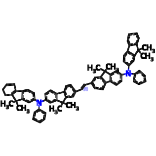 CC1(C)C2=C(C=CCC2)c2ccc(N(c3ccccc3)c3ccc4c(c3)C(C)(C)c3cc(/C=C/c5ccc6c(c5)C(C)(C)c5cc(N(c7ccccc7)c7ccc8c(c7)C(C)(C)c7ccccc7-8)ccc5-6)ccc3-4)cc21